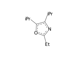 CCc1nc(C(C)C)c(C(C)C)o1